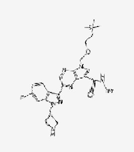 CCCNC(=O)c1cn(COCC[Si](C)(C)C)c2ncc(-c3nn(C4CNC4)c4cc(F)ccc34)nc12